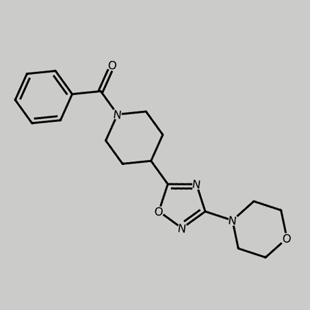 O=C(c1ccccc1)N1CCC(c2nc(N3CCOCC3)no2)CC1